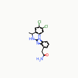 CC(Nc1nc2c(CC(N)=O)cccc2[nH]1)c1ccc(Cl)c(Cl)c1